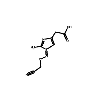 N#CCO/N=S1/C=C(CC(=O)O)N=C1N